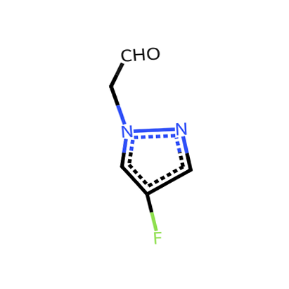 O=CCn1cc(F)cn1